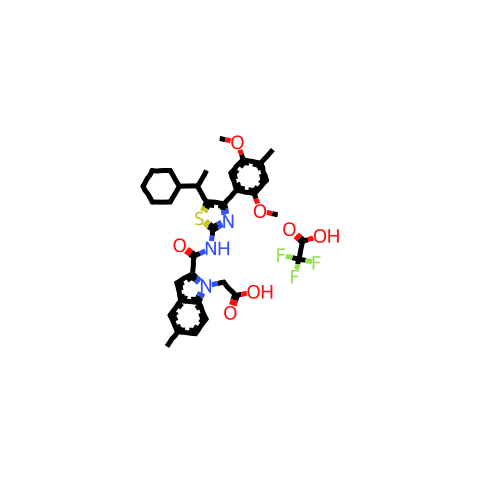 COc1cc(-c2nc(NC(=O)c3cc4cc(C)ccc4n3CC(=O)O)sc2C(C)C2CCCCC2)c(OC)cc1C.O=C(O)C(F)(F)F